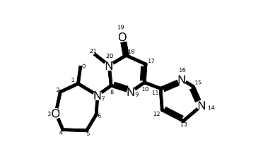 CC1COCCCN1c1nc(-c2ccncn2)cc(=O)n1C